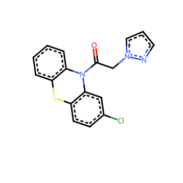 O=C(Cn1cccn1)N1c2ccccc2Sc2ccc(Cl)cc21